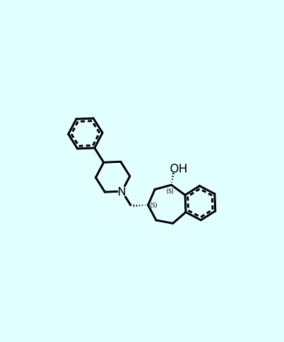 O[C@H]1C[C@@H](CN2CCC(c3ccccc3)CC2)CCc2ccccc21